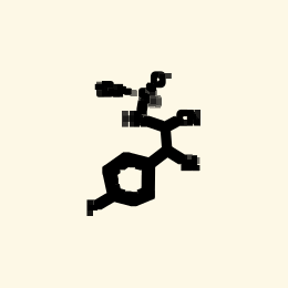 CCC(c1ccc(F)cc1)C(C#N)N[S@@+]([O-])C(C)(C)C